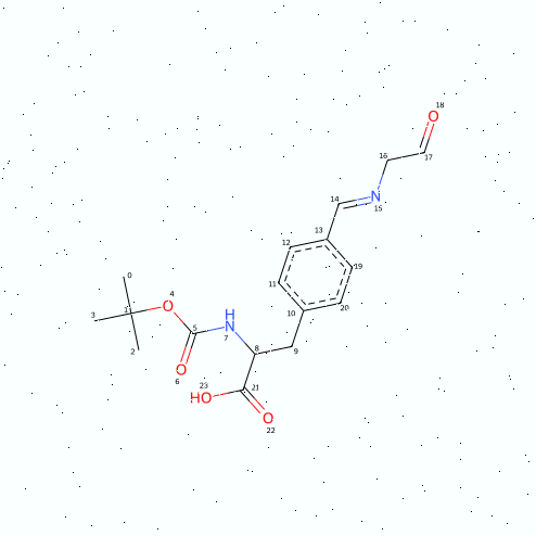 CC(C)(C)OC(=O)NC(Cc1ccc(/C=N/CC=O)cc1)C(=O)O